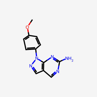 COc1ccc(-n2ncc3cnc(N)nc32)cc1